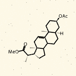 COC(=O)[C@@H](C)[C@H]1CCC2C3CC[C@@H]4C[C@H](OC(C)=O)CC[C@]4(C)C3=CC[C@@]21C